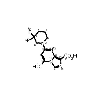 Cc1cc(N2CCCC(F)(F)C2)nc2c(C(=O)O)ncn12